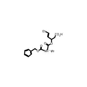 CCC=CC(CC(=O)O)OC(=O)[C@@H](NC(=O)OCc1ccccc1)C(C)C